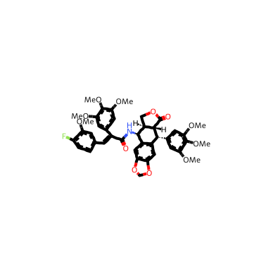 COc1cc(/C=C(/C(=O)N[C@@H]2c3cc4c(cc3[C@@H](c3cc(OC)c(OC)c(OC)c3)[C@H]3C(=O)OC[C@@H]32)OCO4)c2cc(OC)c(OC)c(OC)c2)ccc1F